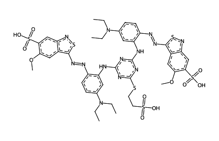 CCN(CC)c1ccc(/N=N/c2snc3cc(S(=O)(=O)O)c(OC)cc23)c(Nc2nc(Nc3cc(N(CC)CC)ccc3/N=N/c3snc4cc(S(=O)(=O)O)c(OC)cc34)nc(SCCS(=O)(=O)O)n2)c1